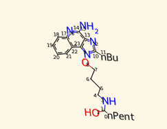 CCCCCC(O)NCCCCOn1c(CCCC)nc2c(N)nc3ccccc3c21